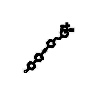 C[C@@]1(O)CCN(CCc2ccc(C#Cc3ccc(-c4ccc(Cl)cc4)cn3)cc2)C[C@@H]1O